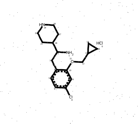 Cl.NC(Cc1ccc(Cl)cc1OCC1CC1)C1CCNCC1